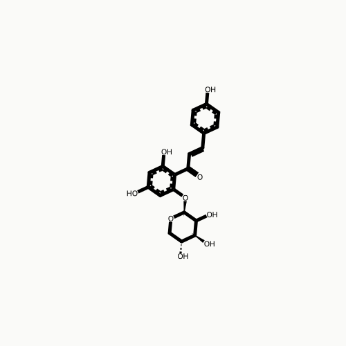 O=C(/C=C/c1ccc(O)cc1)c1c(O)cc(O)cc1O[C@@H]1OC[C@@H](O)[C@H](O)C1O